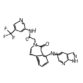 O=C(Cn1ccc2cccc(Nc3cnc4[nH]ncc4c3)c2c1=O)Nc1cncc(C(F)(F)F)c1